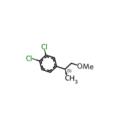 COC[C@@H](C)c1ccc(Cl)c(Cl)c1